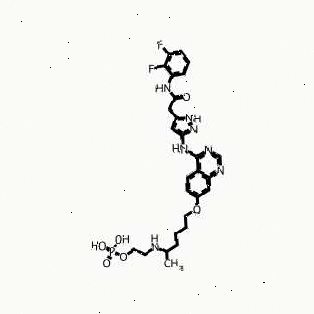 CC(CCCCOc1ccc2c(Nc3cc(CC(=O)Nc4cccc(F)c4F)[nH]n3)ncnc2c1)NCCOP(=O)(O)O